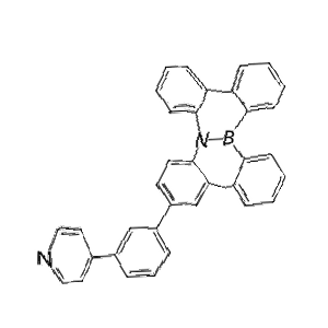 c1cc(-c2ccncc2)cc(-c2ccc3c(c2)-c2ccccc2B2c4ccccc4-c4ccccc4N23)c1